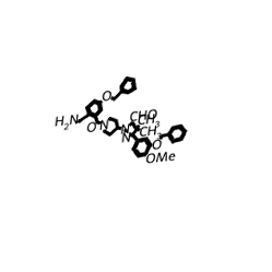 COc1ccc(C2=NN(C3CCN(C(=O)c4cc(OCc5ccccc5)ccc4CN)CC3)C(C=O)C2(C)C)cc1OCc1ccccc1